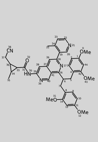 COc1ccc(CC(Cc2ccc(OC)cc2OC)c2nc(-c3cnccc3C)cc3cc(NC(=O)C4C(C)C4CC#N)ncc23)c(OC)c1